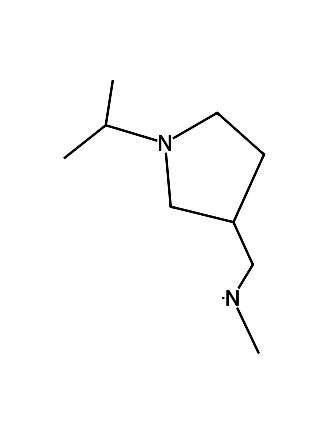 C[N]CC1CCN(C(C)C)C1